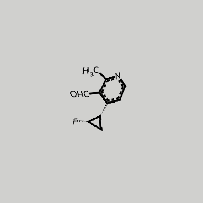 Cc1nccc([C@@H]2C[C@@H]2F)c1C=O